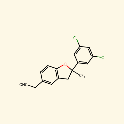 O=CCc1ccc2c(c1)CC(c1cc(Cl)cc(Cl)c1)(C(F)(F)F)O2